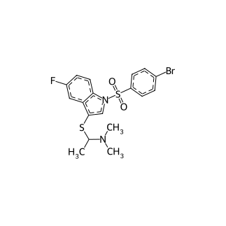 CC(Sc1cn(S(=O)(=O)c2ccc(Br)cc2)c2ccc(F)cc12)N(C)C